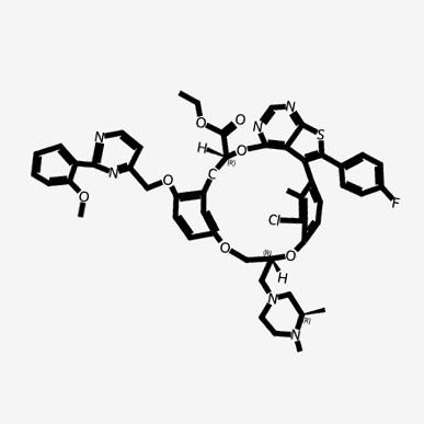 CCOC(=O)[C@H]1Cc2cc(ccc2OCc2ccnc(-c3ccccc3OC)n2)OC[C@@H](CN2CCN(C)[C@H](C)C2)Oc2ccc(c(C)c2Cl)-c2c(-c3ccc(F)cc3)sc3ncnc(c23)O1